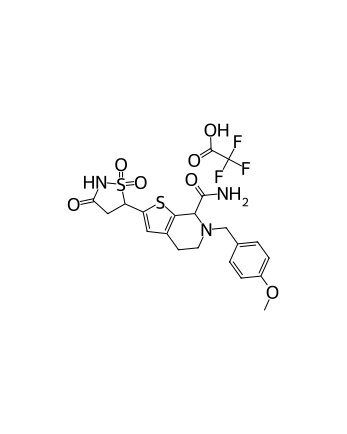 COc1ccc(CN2CCc3cc(C4CC(=O)NS4(=O)=O)sc3C2C(N)=O)cc1.O=C(O)C(F)(F)F